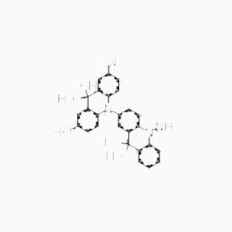 CC1(C)c2ccccc2N(N)c2ccc(N3c4ccc(O)cc4C(C)(C)c4cc(O)ccc43)cc21